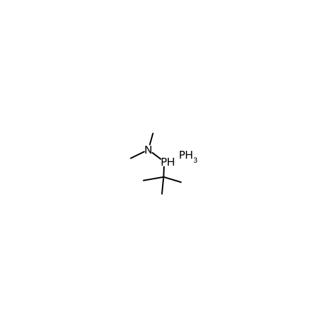 CN(C)PC(C)(C)C.P